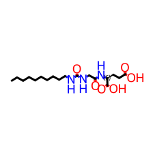 CCCCCCCCCCNC(=O)NCC(=O)N[C@@H](CCC(=O)O)C(=O)O